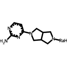 Nc1nccc(N2CC3C[N]([RaH])CC3C2)n1